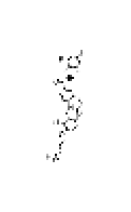 CCCCOc1ccc(F)c(CN2C(=O)CSc3cc(C(=O)NCc4c(F)cc(F)cc4F)ccc32)c1Cl